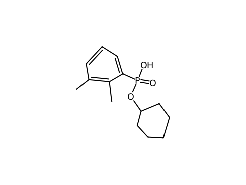 Cc1cccc(P(=O)(O)OC2CCCCC2)c1C